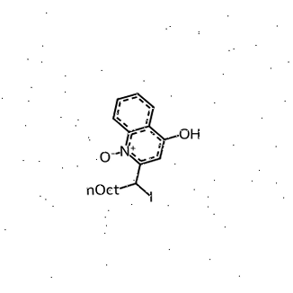 CCCCCCCCC(I)c1cc(O)c2ccccc2[n+]1[O-]